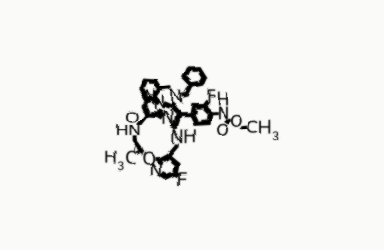 CCOC(=O)Nc1ccc(-c2c3nc4c(cnn4c2N(Cc2ccccc2)Cc2ccccc2)C(=O)NC[C@H](C)Oc2ncc(F)cc2CN3)cc1F